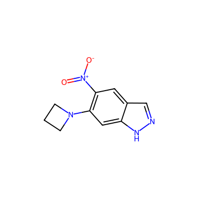 O=[N+]([O-])c1cc2cn[nH]c2cc1N1CCC1